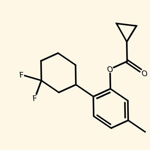 Cc1ccc(C2CCCC(F)(F)C2)c(OC(=O)C2CC2)c1